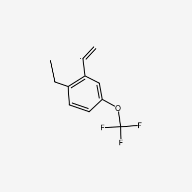 C=[C]c1cc(OC(F)(F)F)ccc1CC